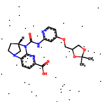 CC1(C)OCC(COc2ccnc(NC(=O)N3c4nc(C(=O)O)ccc4N4CC[C@H]3C4)c2)O1